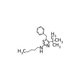 CCCCCNc1nc(C(C)(C)C)c(Cc2ccccc2)s1